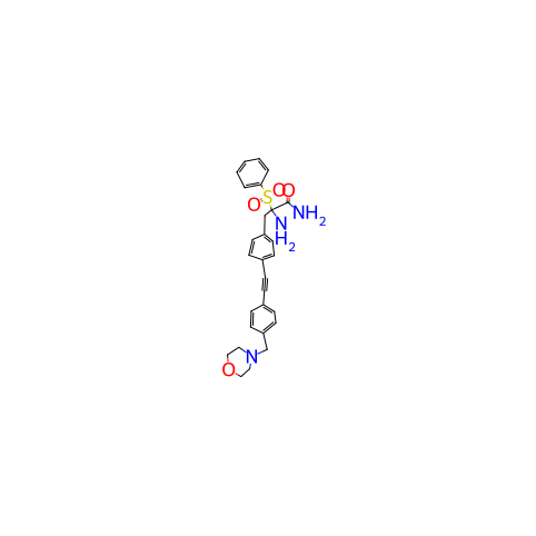 NC(=O)C(N)(Cc1ccc(C#Cc2ccc(CN3CCOCC3)cc2)cc1)S(=O)(=O)c1ccccc1